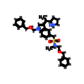 CC(c1cn(COCc2ccccc2)c2ccc(CS(=O)(=O)N(C)COCc3ccccc3)cc12)C1CCCN1